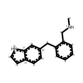 CNCc1ccccc1Cc1ccc2cc[nH]c2c1